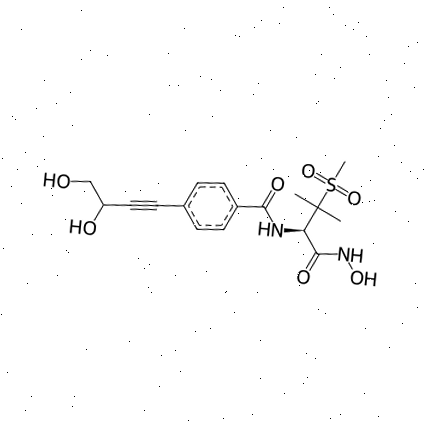 CC(C)([C@H](NC(=O)c1ccc(C#CC(O)CO)cc1)C(=O)NO)S(C)(=O)=O